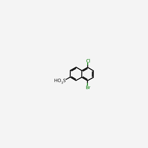 O=S(=O)(O)c1ccc2c(Cl)ccc(Br)c2c1